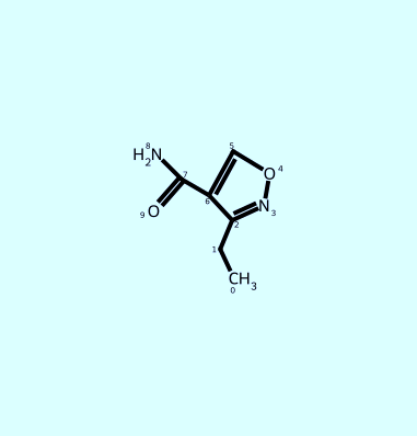 CCc1nocc1C(N)=O